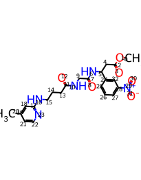 COC(=O)CC(NC(=O)CNC(=O)CCCNc1cc(C)ccn1)c1cccc([N+](=O)[O-])c1